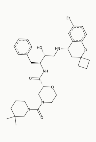 CCc1ccc2c(c1)[C@@H](NC[C@@H](O)[C@H](Cc1ccccc1)NC(=O)[C@H]1CN(C(=O)N3CCCC(C)(C)C3)CCO1)CC1(CCC1)O2